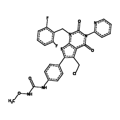 CONC(=O)Nc1ccc(-c2sc3c(c2CCl)c(=O)n(-c2ccccn2)c(=O)n3Cc2c(F)cccc2F)cc1